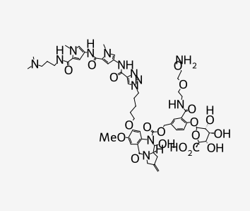 C=C1C[C@H]2C(O)N(C(=O)OCc3ccc(O[C@@H]4O[C@H](C(=O)O)[C@@H](O)[C@H](O)[C@H]4O)c(C(=O)NCCOCCON)c3)c3cc(OCCCCCn4cc(C(=O)Nc5cc(C(=O)Nc6cc(C(=O)NCCCN(C)C)n(C)c6)n(C)c5)nn4)c(OC)cc3C(=O)N2C1